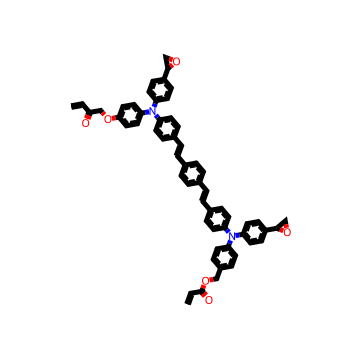 C=CC(=O)COc1ccc(N(c2ccc(C=Cc3ccc(C=Cc4ccc(N(c5ccc(COC(=O)C=C)cc5)c5ccc(C6CO6)cc5)cc4)cc3)cc2)c2ccc(C3CO3)cc2)cc1